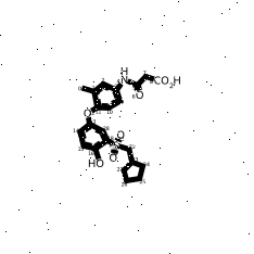 Cc1cc(NC(=O)CC(=O)O)ccc1Oc1ccc(O)c(S(=O)(=O)CC2CCCC2)c1